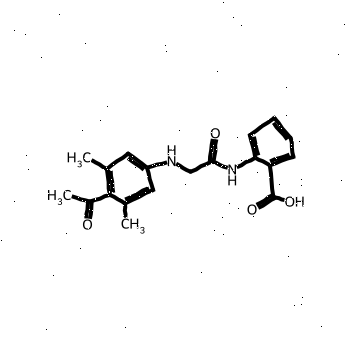 CC(=O)c1c(C)cc(NCC(=O)Nc2ccccc2C(=O)O)cc1C